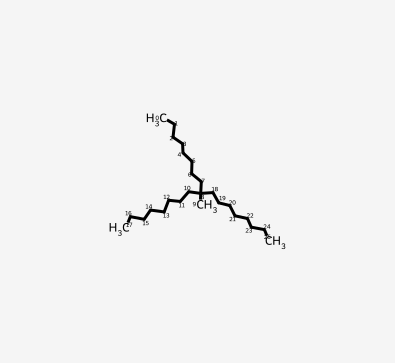 CCCCCCCCC(C)(CCCCCCCC)CCCCCCCC